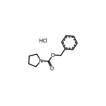 Cl.O=C(OCc1ccccc1)N1CCCC1